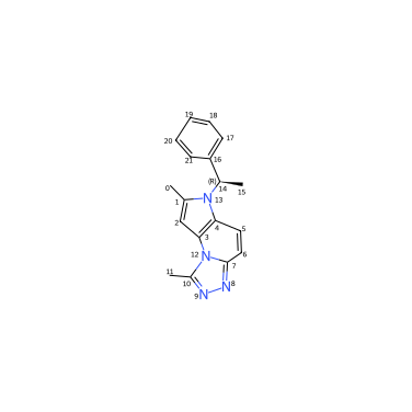 Cc1cc2c(ccc3nnc(C)n32)n1[C@H](C)c1ccccc1